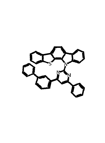 c1ccc(-c2cccc(-c3cc(-c4ccccc4)nc(-n4c5ccccc5c5ccc6c7ccccc7sc6c54)n3)c2)cc1